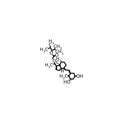 C=C1C(=CC=C2CCC[C@]3(C)C([C@H](C)OCC(=O)OC(C(C)C)C(C)C)=CC[C@@H]23)C[C@@H](O)C[C@@H]1O